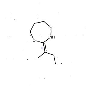 CC/C(C)=C1\NCCCCO1